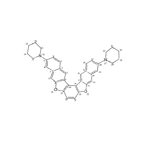 c1cc2cc3c(cc2cc1N1CCCCC1)oc1ccc2oc4cc5cc(N6CCCCC6)ccc5cc4c2c13